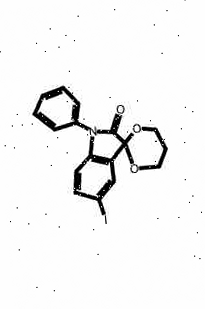 O=C1N(c2ccccc2)c2ccc(I)cc2C12OCCCO2